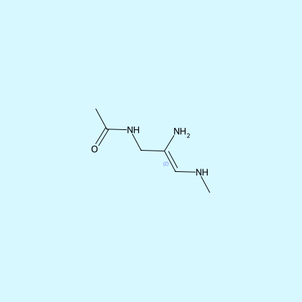 CN/C=C(\N)CNC(C)=O